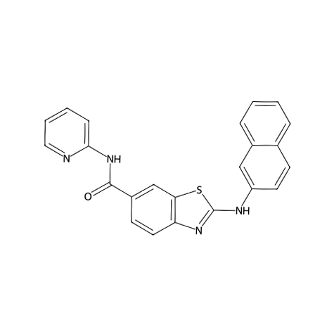 O=C(Nc1ccccn1)c1ccc2nc(Nc3ccc4ccccc4c3)sc2c1